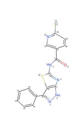 O=C(Nc1nc2[nH]nc(-c3ccccc3)c2s1)c1ccc(Cl)nc1